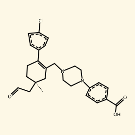 C[C@]1(CC=O)CCC(c2ccc(Cl)cc2)=C(CN2CCN(c3ccc(C(=O)O)cc3)CC2)C1